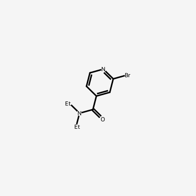 CCN(CC)C(=O)c1ccnc(Br)c1